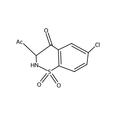 CC(=O)C1NS(=O)(=O)c2ccc(Cl)cc2C1=O